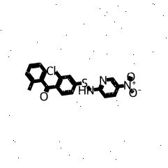 Cc1ccccc1C(=O)c1ccc(SNc2ccc([N+](=O)[O-])cn2)cc1Cl